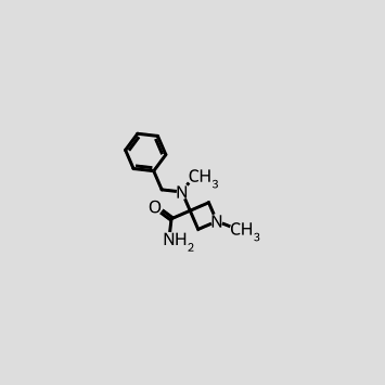 CN1CC(C(N)=O)(N(C)Cc2ccccc2)C1